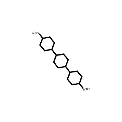 CCCCCCCCCCC1CCC(C2CCC(C3CCC(CCCCCCCC)CC3)CC2)CC1